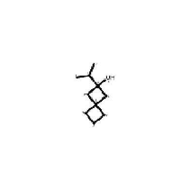 CC(C)C1(O)CC2(CCC2)C1